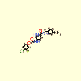 O=C(COc1ccc(Cl)c(F)c1)NC1CCC(C(=O)NCc2ccc(C(F)(F)F)cc2)NC1